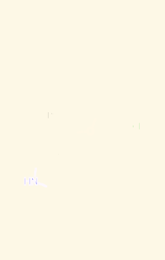 CC(C)C(Oc1c(Cl)cccc1Cl)C1CCNC1